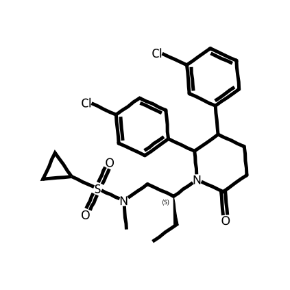 CC[C@@H](CN(C)S(=O)(=O)C1CC1)N1C(=O)CCC(c2cccc(Cl)c2)C1c1ccc(Cl)cc1